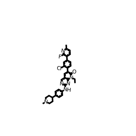 CCn1c(=O)c(-c2ccc(-c3ccc(C)nc3F)cc2Cl)cc2cnc(Nc3ccc(C4CCN(C)CC4)cc3)nc21